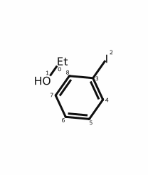 CCO.Ic1ccccc1